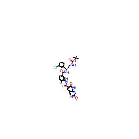 COc1ncc2cc(C(=O)Nc3cc(C(=O)N[C@@H](CCNC(=O)OC(C)(C)C)c4cccc(Cl)c4)ccc3C)c(=O)[nH]c2n1